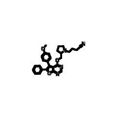 COc1ccc(-c2c(-c3ccccc3)oc3ncnc(OCC4CCCN4CCCC#N)c23)cc1